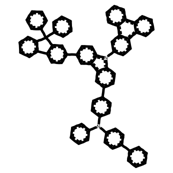 c1ccc(-c2ccc(N(c3ccccc3)c3ccc(-c4ccc5c(c4)c4cc(-c6ccc7c(c6)C(c6ccccc6)(c6ccccc6)c6ccccc6-7)ccc4n5-c4ccc5c6ccccc6c6ccccc6c5c4)cc3)cc2)cc1